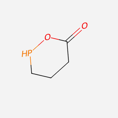 O=C1CCCPO1